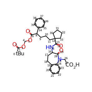 CC(C)(C)C(=O)OCOC(=O)C(CCCC1(C(=O)NC2CCc3ccccc3N(CC(=O)O)C2=O)CCCC1)c1ccccc1